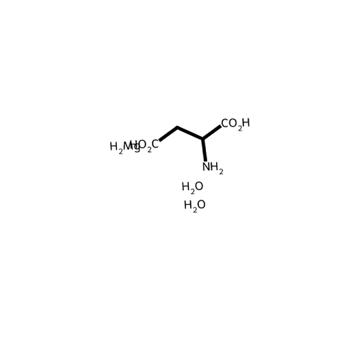 NC(CC(=O)O)C(=O)O.O.O.[MgH2]